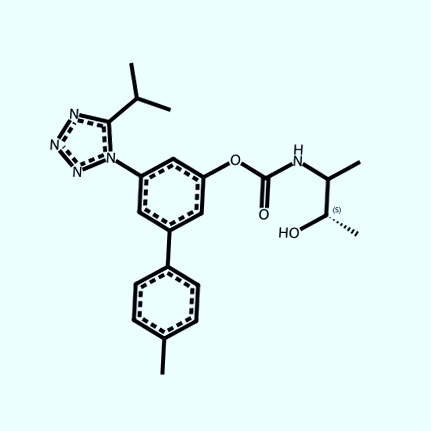 Cc1ccc(-c2cc(OC(=O)NC(C)[C@H](C)O)cc(-n3nnnc3C(C)C)c2)cc1